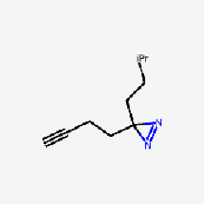 C#CCCC1(CCC(C)C)N=N1